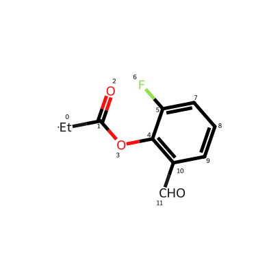 C[CH]C(=O)Oc1c(F)cccc1C=O